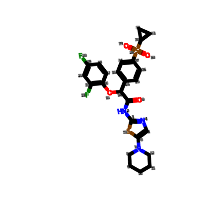 O=C(Nc1ncc(N2CCCCC2)s1)C(Oc1ccc(F)cc1F)c1ccc(S(=O)(=O)C2CC2)cc1